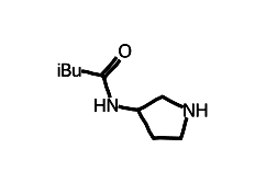 CCC(C)C(=O)NC1CCNC1